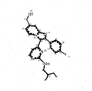 CCC(C)CNc1nccc(-c2c(-c3ccc(F)cc3)nc3cc(CO)ccn23)n1